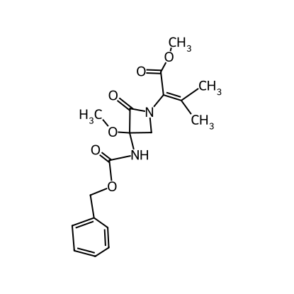 COC(=O)C(=C(C)C)N1CC(NC(=O)OCc2ccccc2)(OC)C1=O